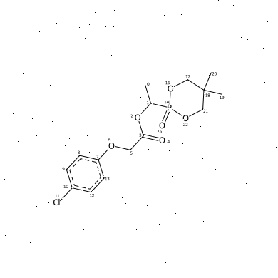 CC(OC(=O)COc1ccc(Cl)cc1)P1(=O)OCC(C)(C)CO1